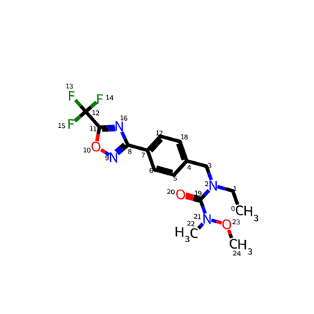 CCN(Cc1ccc(-c2noc(C(F)(F)F)n2)cc1)C(=O)N(C)OC